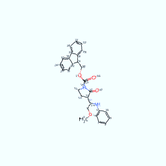 COC/C(Nc1ccccc1)=C1\CCN(C(=O)OCC2c3ccccc3-c3ccccc32)C1=O